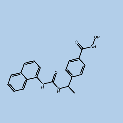 CC(NC(=O)Nc1cccc2ccccc12)c1ccc(C(=O)NO)cc1